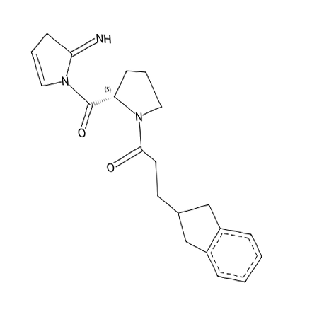 N=C1CC=CN1C(=O)[C@@H]1CCCN1C(=O)CCC1Cc2ccccc2C1